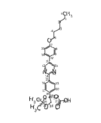 CCCCCCOc1ccc(-c2cnc(-c3ccc([C@@]4(OC(=O)O)COC(C)(C)O4)cc3)nc2)cc1